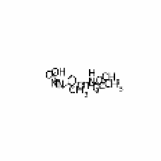 Cc1c(Cn2cnc(C(=O)O)c2)cccc1OCCNC(=O)OC(C)(C)C